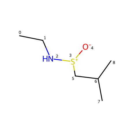 CCN[S+]([O-])CC(C)C